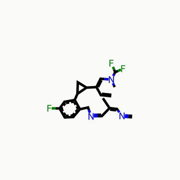 C=C/C(=C\N(C)C(F)F)C1CC1c1cc(F)ccc1C/N=C\C(C)=C/N=C